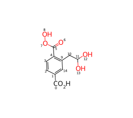 O=C(O)c1ccc(C(=O)OO)c(CC(O)O)c1